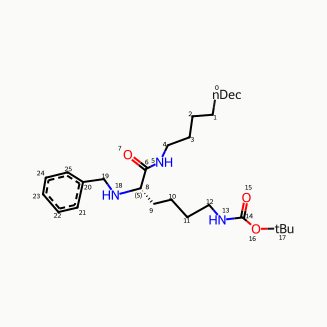 CCCCCCCCCCCCCCNC(=O)[C@H](CCCCNC(=O)OC(C)(C)C)NCc1ccccc1